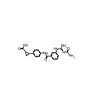 NC(=O)N=C(N)Nc1cccc(C(=O)Nc2ccc(C3CC3C(=O)O)cc2)c1